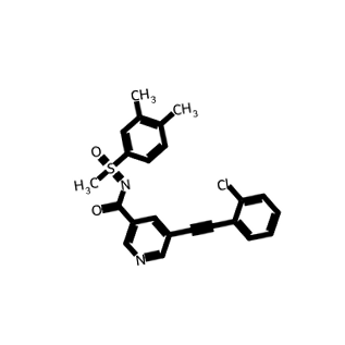 Cc1ccc(S(C)(=O)=NC(=O)c2cncc(C#Cc3ccccc3Cl)c2)cc1C